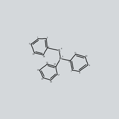 [c]1ccc(SP(c2ccccc2)c2ccccc2)cc1